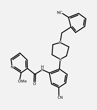 COc1ncccc1C(=O)Nc1cc(C#N)ccc1N1CCN(Cc2ccccc2C#N)CC1